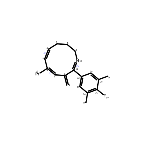 C=C1/C=C(C(C)C)\C=C/CCC/N=C\1c1cc(C)c(F)c(C)c1